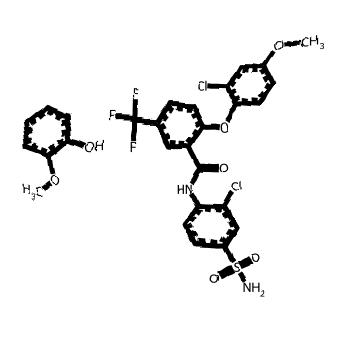 COc1ccc(Oc2ccc(C(F)(F)F)cc2C(=O)Nc2ccc(S(N)(=O)=O)cc2Cl)c(Cl)c1.COc1ccccc1O